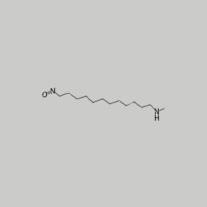 CNCCCCCCCCCCCCN=O